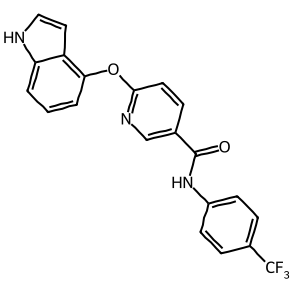 O=C(Nc1ccc(C(F)(F)F)cc1)c1ccc(Oc2cccc3[nH]ccc23)nc1